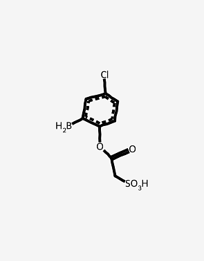 Bc1cc(Cl)ccc1OC(=O)CS(=O)(=O)O